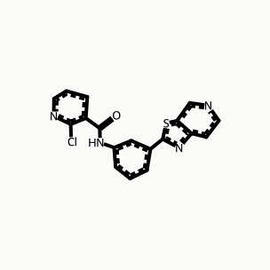 O=C(Nc1cccc(-c2nc3ccncc3s2)c1)c1cccnc1Cl